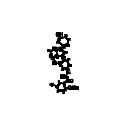 COc1ccc(F)cc1C(=O)NCc1ccc(-c2cn(C3CCCC(O)C3)c3ncnc(N)c23)cc1